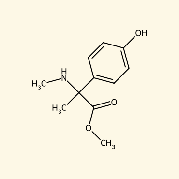 CNC(C)(C(=O)OC)c1ccc(O)cc1